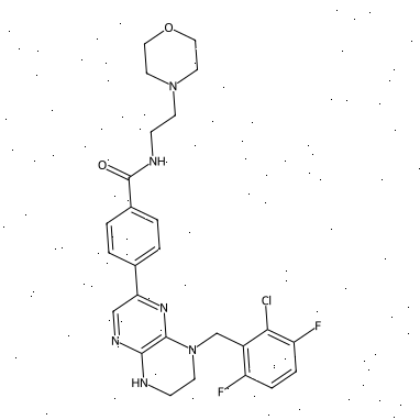 O=C(NCCN1CCOCC1)c1ccc(-c2cnc3c(n2)N(Cc2c(F)ccc(F)c2Cl)CCN3)cc1